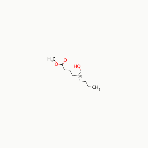 CCCC[C@@H](CO)CCCC(=O)OC